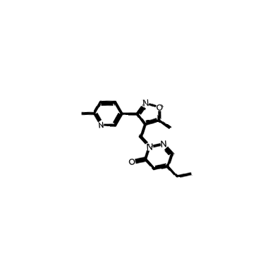 CCc1cnn(Cc2c(-c3ccc(C)nc3)noc2C)c(=O)c1